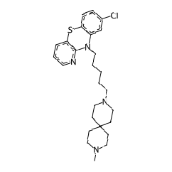 CN1CCC2(CC1)CCN(CCCCCN1c3cc(Cl)ccc3Sc3cccnc31)CC2